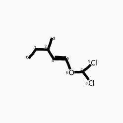 CCC(C)C=COC(Cl)Cl